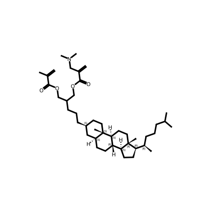 C=C(C)C(=O)OCC(CCC[C@H]1CC[C@@]2(C)[C@@H](CC[C@@H]3[C@@H]2CC[C@]2(C)[C@@H]([C@H](C)CCCC(C)C)CC[C@@H]32)C1)COC(=O)C(=C)CN(C)C